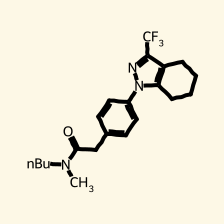 CCCCN(C)C(=O)Cc1ccc(-n2nc(C(F)(F)F)c3c2CCCC3)cc1